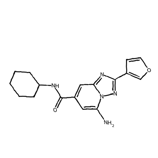 Nc1cc(C(=O)NC2CCCCC2)cc2nc(-c3ccoc3)nn12